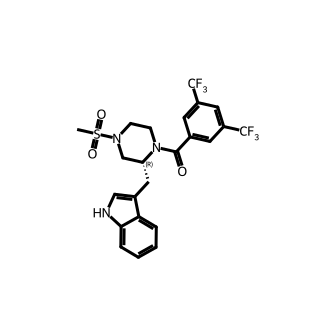 CS(=O)(=O)N1CCN(C(=O)c2cc(C(F)(F)F)cc(C(F)(F)F)c2)[C@H](Cc2c[nH]c3ccccc23)C1